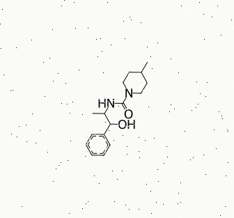 CC1CCN(C(=O)NC(C)C(O)c2ccccc2)CC1